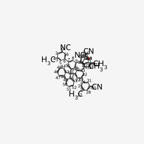 [C-]#[N+]c1cc(C)cc(-c2cc(-c3cc(C)cc(C#N)c3)cc(C3(c4cc(-c5cc(C)cc(C#N)c5)cc(-c5cc(C)cc(C#N)c5)c4)c4ccccc4-c4ccccc43)c2)c1